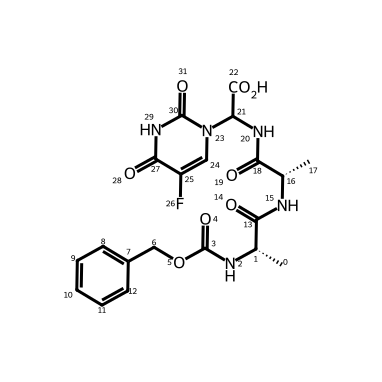 C[C@H](NC(=O)OCc1ccccc1)C(=O)N[C@@H](C)C(=O)NC(C(=O)O)n1cc(F)c(=O)[nH]c1=O